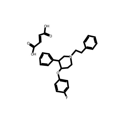 Fc1ccc(OC2CCN(CCc3ccccc3)CC2c2ccccc2)cc1.O=C(O)C=CC(=O)O